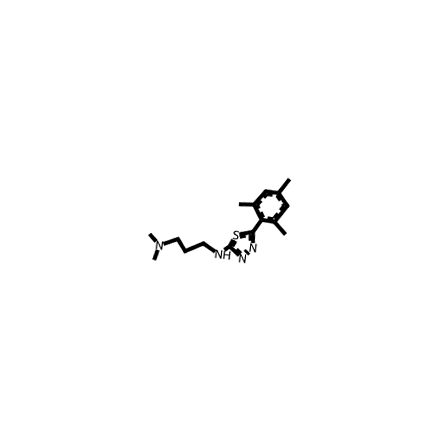 Cc1cc(C)c(-c2nnc(NCCCN(C)C)s2)c(C)c1